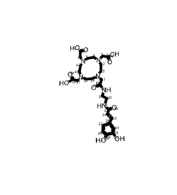 O=C(O)CN1CCN(CC(=O)O)CCN(CC(=O)NCCNC(=O)/C=C/c2ccc(O)c(O)c2)CCN(CC(=O)O)CC1